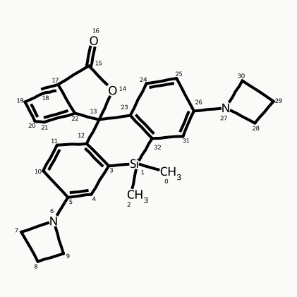 C[Si]1(C)c2cc(N3CCC3)ccc2C2(OC(=O)c3ccccc32)c2ccc(N3CCC3)cc21